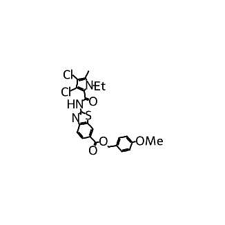 CCn1c(C)c(Cl)c(Cl)c1C(=O)Nc1nc2ccc(C(=O)OCc3ccc(OC)cc3)cc2s1